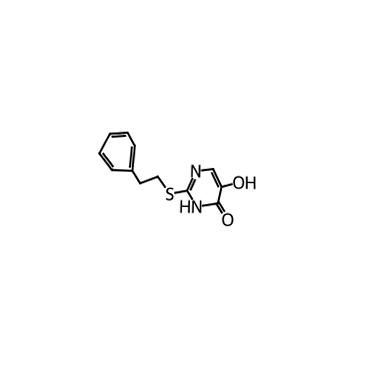 O=c1[nH]c(SCCc2ccccc2)ncc1O